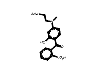 CC(=O)NCCN(C)c1ccc(C(=O)c2ccccc2C(=O)O)c(O)c1